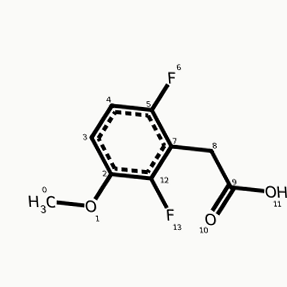 COc1ccc(F)c(CC(=O)O)c1F